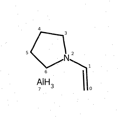 C=CN1CCCC1.[AlH3]